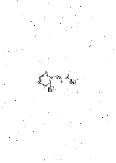 [Br-].[Ni+][CH2]C=Cc1ccccc1